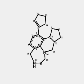 C1=C(c2ccc3c4c2N2CCCC2CN4CCNC3)CCC1